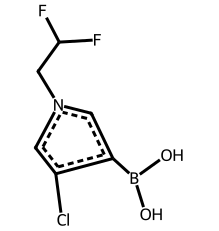 OB(O)c1cn(CC(F)F)cc1Cl